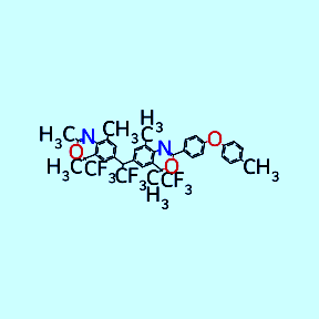 CC1=Nc2c(C)cc(C(c3cc(C)c4c(c3)C(C)(C(F)(F)F)OC(c3ccc(Oc5ccc(C)cc5)cc3)=N4)C(F)(F)F)cc2C(C)(C(F)(F)F)O1